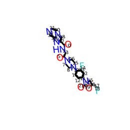 O=C(NCC(=O)N1CCN(c2ccc(N3C[C@H](CF)OC3=O)cc2F)CC1)c1cn2ccncc2n1